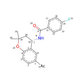 CC(=O)c1ccc2c(c1)[C@@H](NC(=O)c1ccc(F)cc1)[CH]C(C)(C)O2